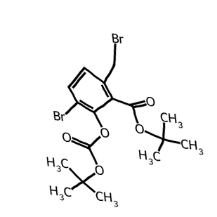 CC(C)(C)OC(=O)Oc1c(Br)ccc(CBr)c1C(=O)OC(C)(C)C